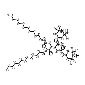 CCCCCCCCCCCCCOC(=O)CC(C(=O)OCCCCCCCCCCCCC)C(CC(=O)OC1CC(C)(C)NC(C)(C)C1)C(=O)OC1CC(C)(C)NC(C)(C)C1